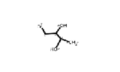 [CH2]C(O)C(O)CBr